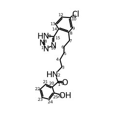 O=C(NCCCCCc1cc(Cl)ccc1-c1nnn[nH]1)c1ccccc1O